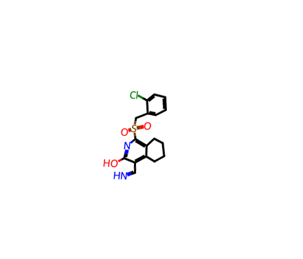 N=Cc1c(O)nc(S(=O)(=O)Cc2ccccc2Cl)c2c1CCCC2